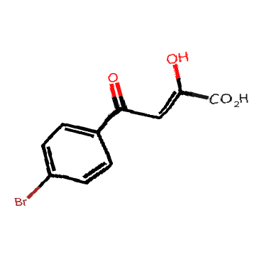 O=C(O)/C(O)=C/C(=O)c1ccc(Br)cc1